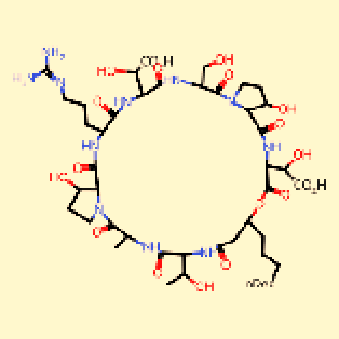 CCCCCCCCCCCCCC1CC(=O)NC(C(C)O)C(=O)NC(C)C(=O)N2CCC(O)C2C(=O)NC(CCCN=C(N)N)C(=O)NC(C(O)C(=O)O)C(=O)NC(CO)C(=O)N2CCC(O)C2C(=O)NC(C(O)C(=O)O)C(=O)O1